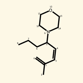 C=C(C)/C=C\C(CCC)N1CCOCC1